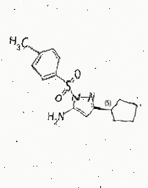 Cc1ccc(S(=O)(=O)n2nc([C@H]3C[CH]CC3)cc2N)cc1